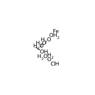 CO.Cl.O.O.O.O.O.O.[Fe]